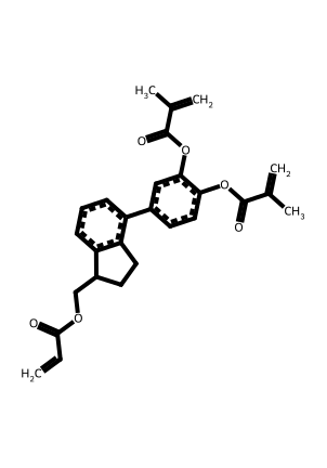 C=CC(=O)OCC1CCc2c(-c3ccc(OC(=O)C(=C)C)c(OC(=O)C(=C)C)c3)cccc21